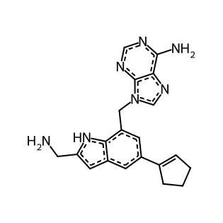 NCc1cc2cc(C3=CCCC3)cc(Cn3cnc4c(N)ncnc43)c2[nH]1